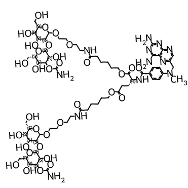 CN(Cc1cnc2nc(N)nc(N)c2n1)c1ccc(C(=O)N[C@H](CCC(=O)OCCCCCC(=O)NCCOCCOC2O[C@@H](CO)[C@@H](O)[C@H](O)[C@@H]2O[C@H]2O[C@H](CO)[C@@H](O)[C@H](OC(N)=O)[C@@H]2O)C(=O)OCCCCCC(=O)NCCOCCOC2O[C@H](CO)[C@H](O)[C@@H](O)[C@H]2O[C@@H]2O[C@@H](CO)[C@H](O)C(OC(N)=O)[C@H]2O)cc1